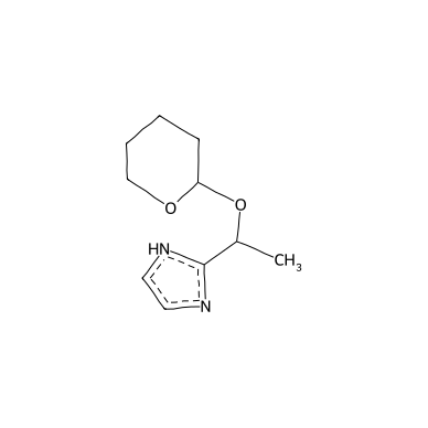 CC(OC1CCCCO1)c1ncc[nH]1